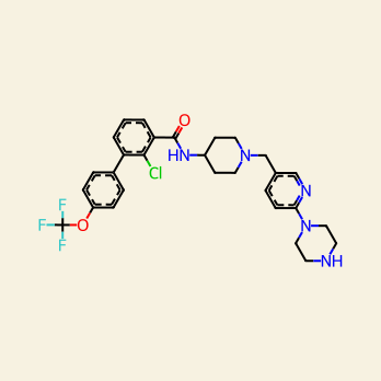 O=C(NC1CCN(Cc2ccc(N3CCNCC3)nc2)CC1)c1cccc(-c2ccc(OC(F)(F)F)cc2)c1Cl